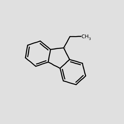 CC[C]1c2ccccc2-c2ccccc21